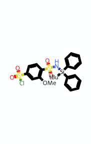 COc1cc(S(=O)(=O)Cl)ccc1S(=O)(=O)N[Si](c1ccccc1)(c1ccccc1)C(C)(C)C